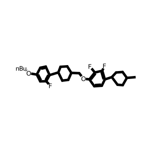 CCCCOc1ccc(C2CCC(COc3ccc(C4CCC(C)CC4)c(F)c3F)CC2)c(F)c1